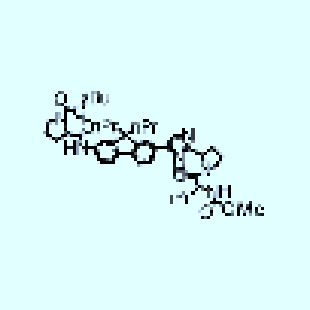 CCCC1(CCC)c2cc(NC(=O)C3CCCN3C(=O)OC(C)(C)C)ccc2-c2ccc(-c3cnc(C4CCCN4C(=O)C(NC(=O)OC)C(C)C)[nH]3)cc21